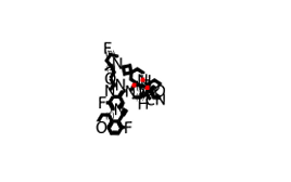 C#Cc1c(F)ccc2c1[C@@H](c1ncc3c(N4C[C@H]5CC(C#N)[C@@H](C4)N5C(=O)C=C)nc(OC[C@]4(C)C[C@@H](F)CN4C4CC5(CCN(C6CCOCC6)CC5)C4)nc3c1F)CCO2